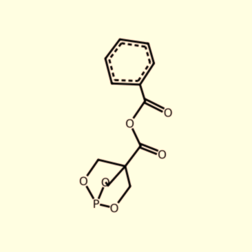 O=C(OC(=O)C12COP(OC1)OC2)c1ccccc1